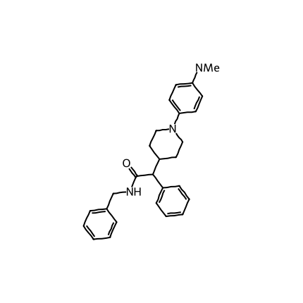 CNc1ccc(N2CCC(C(C(=O)NCc3ccccc3)c3ccccc3)CC2)cc1